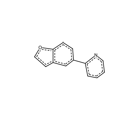 [c]1cc(-c2ccccn2)cc2ccoc12